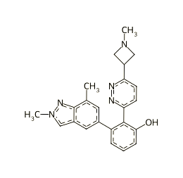 Cc1cc(-c2cccc(O)c2-c2ccc(C3CN(C)C3)nn2)cc2cn(C)nc12